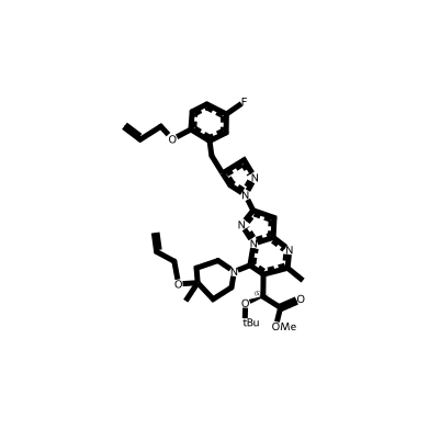 C=CCOc1ccc(F)cc1Cc1cnn(-c2cc3nc(C)c([C@H](OC(C)(C)C)C(=O)OC)c(N4CCC(C)(OCC=C)CC4)n3n2)c1